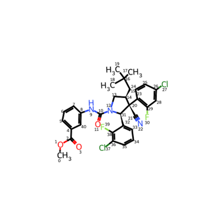 COC(=O)c1cccc(NC(=O)N2C[C@@H](CC(C)(C)C)[C@](C#N)(c3ccc(Cl)cc3F)[C@H]2c2cccc(Cl)c2F)c1